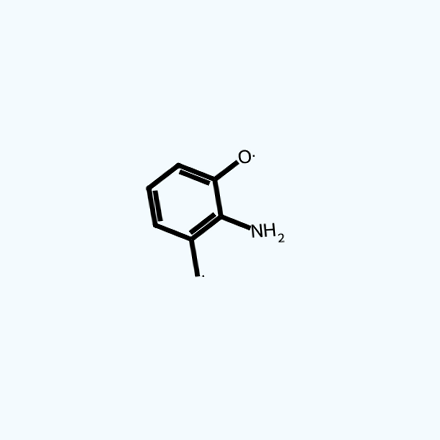 [CH2]c1cccc([O])c1N